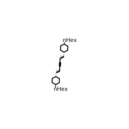 CCCCCC[C@H]1CC[C@H](/C=C/C#C/C=C/[C@H]2CC[C@H](CCCCCC)CC2)CC1